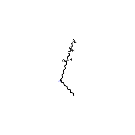 CCCCCCCC/C=C\CCCCCCCC(=O)NCCOPOCCN(C)C